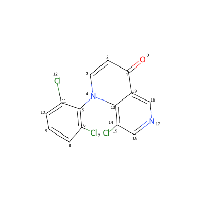 O=c1ccn(-c2c(Cl)cccc2Cl)c2c(Cl)cncc12